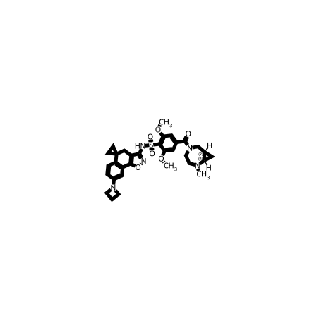 COc1cc(C(=O)N2CCN(C)[C@@H]3C[C@@H]3C2)cc(OC)c1S(=O)(=O)Nc1noc2c1CC1(CC1)c1ccc(N3CCC3)cc1-2